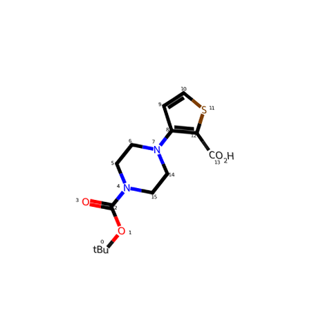 CC(C)(C)OC(=O)N1CCN(c2ccsc2C(=O)O)CC1